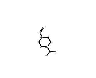 CC(C)N1CCN(N=O)CC1